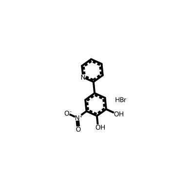 Br.O=[N+]([O-])c1cc(-c2ccccn2)cc(O)c1O